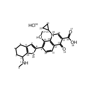 CNC1CCCc2cc(-c3ccc4c(=O)c(C(=O)O)cn(C5CC5)c4c3OC)sc21.Cl